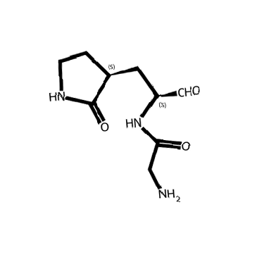 NCC(=O)N[C@H](C=O)C[C@@H]1CCNC1=O